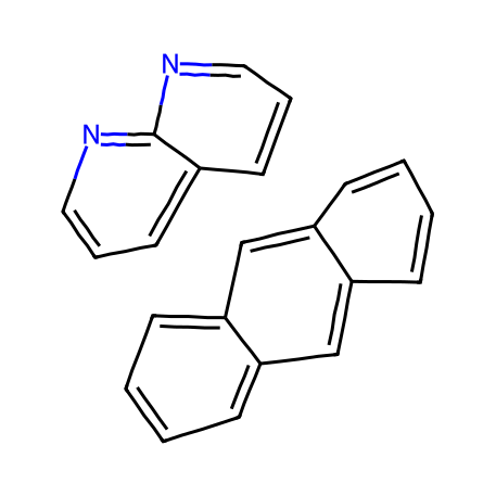 c1ccc2cc3ccccc3cc2c1.c1cnc2ncccc2c1